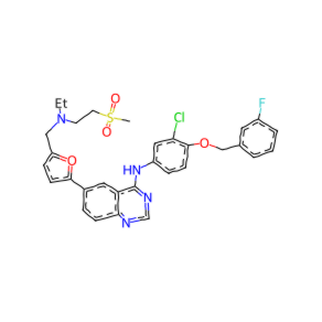 CCN(CCS(C)(=O)=O)Cc1ccc(-c2ccc3ncnc(Nc4ccc(OCc5cccc(F)c5)c(Cl)c4)c3c2)o1